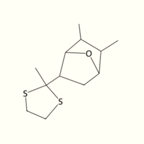 CC1C2CC(C3(C)SCCS3)C(O2)C1C